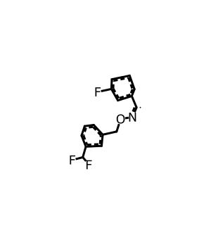 Fc1cccc(/[C]=N\OCc2cccc(C(F)F)c2)c1